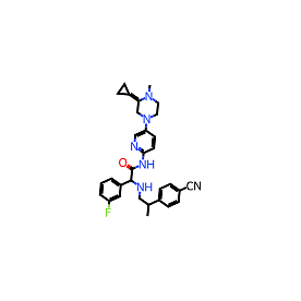 CC(CNC(C(=O)Nc1ccc(N2CCN(C)C(=C3CC3)C2)cn1)c1cccc(F)c1)c1ccc(C#N)cc1